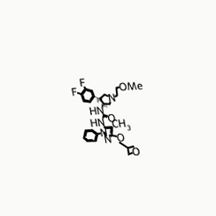 COCCN1C[C@@H](NC(=O)Nc2c(C)c(OCC3COC3)nn2-c2ccccc2)[C@H](c2ccc(F)c(F)c2)C1